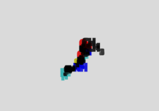 COc1ccc2c(Oc3cc4sc(NCCc5cccc(C(F)(F)F)c5)nc4cc3F)ccnc2c1OC